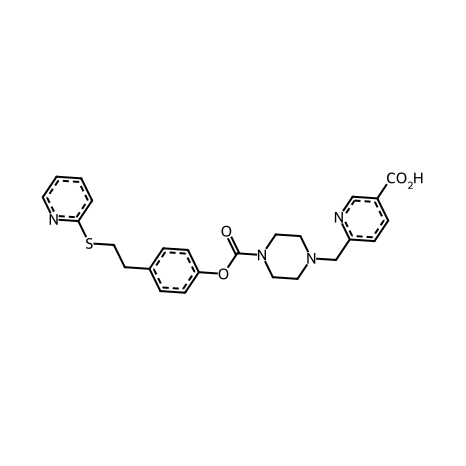 O=C(O)c1ccc(CN2CCN(C(=O)Oc3ccc(CCSc4ccccn4)cc3)CC2)nc1